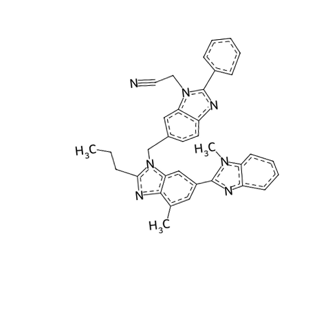 CCCc1nc2c(C)cc(-c3nc4ccccc4n3C)cc2n1Cc1ccc2nc(-c3ccccc3)n(CC#N)c2c1